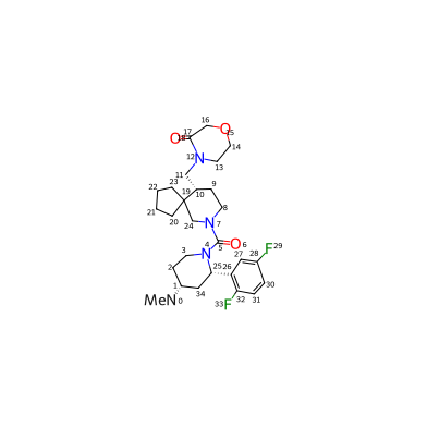 CN[C@@H]1CCN(C(=O)N2CC[C@@H](CN3CCOCC3=O)C3(CCCC3)C2)[C@H](c2cc(F)ccc2F)C1